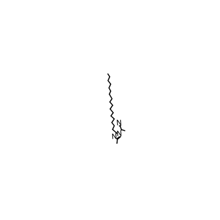 CCCCCCCCCCCCCCCCCc1nc(C)cn1C(C)C#N